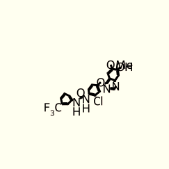 COc1cc2c(Oc3ccc(NC(=O)Nc4cccc(C(F)(F)F)c4)c(Cl)c3)ncnc2cc1O